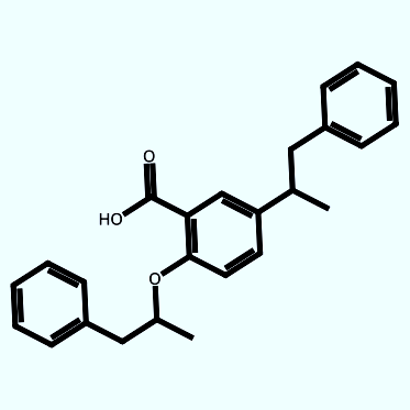 CC(Cc1ccccc1)Oc1ccc(C(C)Cc2ccccc2)cc1C(=O)O